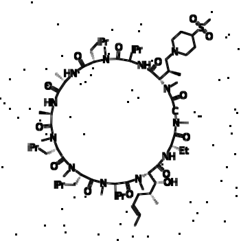 C/C=C/C[C@@H](C)[C@@H](O)[C@H]1C(=O)N[C@@H](CC)C(=O)N(C)CC(=O)N(C)[C@@H]([C@H](C)CN2CCC(S(C)(=O)=O)CC2)C(=O)NC(C(C)C)C(=O)N(C)[C@@H](CC(C)C)C(=O)N[C@@H](C)C(=O)N[C@H](C)C(=O)N(C)[C@@H](CC(C)C)C(=O)N(C)[C@@H](CC(C)C)C(=O)N(C)C(C(C)C)C(=O)N1C